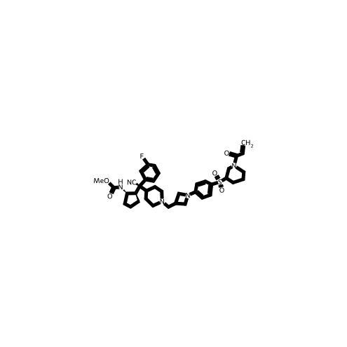 C=CC(=O)N1CCCC(S(=O)(=O)c2ccc(N3CC(CN4CCC([C@@](C#N)(c5cccc(F)c5)[C@H]5CCC[C@@H]5NC(=O)OC)CC4)C3)cc2)C1